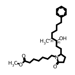 COC(=O)CCCCCCN1C(=O)CCC1CC[C@@H](O)[C@H](C)CCCCc1ccccc1